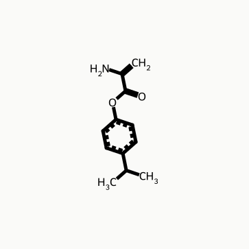 C=C(N)C(=O)Oc1ccc(C(C)C)cc1